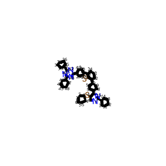 c1ccc(Sc2cnc(-c3ccccc3)nc2-c2ccc(-c3cccc4c3sc3cc(-c5nc(-c6ccccc6)nc(-c6ccccc6)n5)ccc34)cc2)cc1